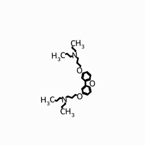 CCCN(CCC)CCCOc1ccc2oc3ccc(OCCCN(CCC)CCC)cc3c2c1